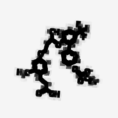 Cc1cc(OCCC(C)Oc2ccc(C(F)(F)F)cc2-c2ccccn2)ccc1CCC(=O)O.O=C([O-])[O-].[Cs+].[Cs+]